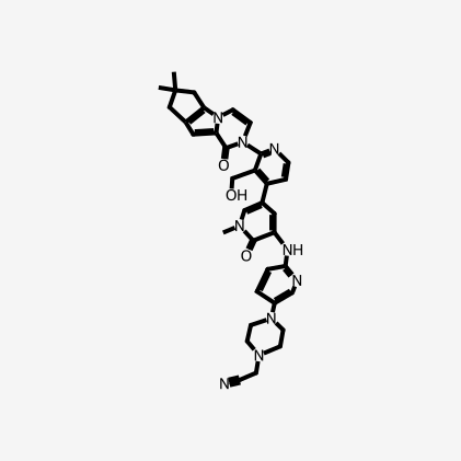 Cn1cc(-c2ccnc(-n3ccn4c5c(cc4c3=O)CC(C)(C)C5)c2CO)cc(Nc2ccc(N3CCN(CC#N)CC3)cn2)c1=O